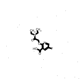 CCN(CC)C(=O)COc1ncc(F)cc1C(=O)O